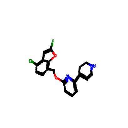 Fc1cc2c(Cl)ccc(COc3cccc(C4=CCNCC4)n3)c2o1